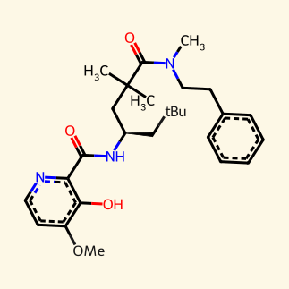 COc1ccnc(C(=O)N[C@H](CC(C)(C)C)CC(C)(C)C(=O)N(C)CCc2ccccc2)c1O